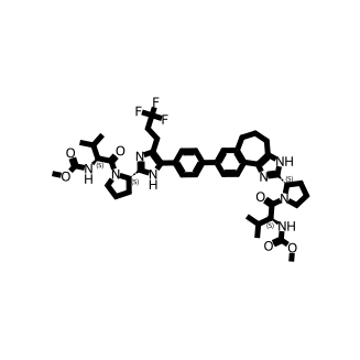 COC(=O)N[C@H](C(=O)N1CCC[C@H]1c1nc2c([nH]1)CCCc1cc(-c3ccc(-c4[nH]c([C@@H]5CCCN5C(=O)[C@@H](NC(=O)OC)C(C)C)nc4CCC(F)(F)F)cc3)ccc1-2)C(C)C